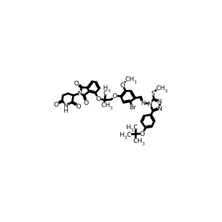 COc1cc(/C=N/n2c(SC)nnc2-c2ccc(OC(C)(C)C)cc2)c(Br)cc1OCC(C)(C)Oc1cccc2c1C(=O)N(C1CCC(=O)NC1=O)C2=O